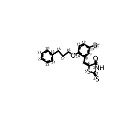 O=C1NC(=S)SC1=Cc1cc(Br)ccc1OCCCc1ccccc1